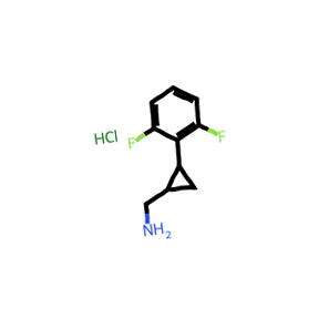 Cl.NCC1CC1c1c(F)cccc1F